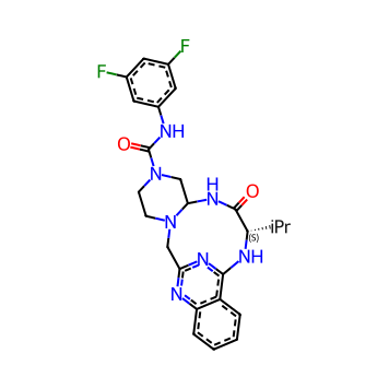 CC(C)[C@@H]1Nc2nc(nc3ccccc23)CN2CCN(C(=O)Nc3cc(F)cc(F)c3)CC2NC1=O